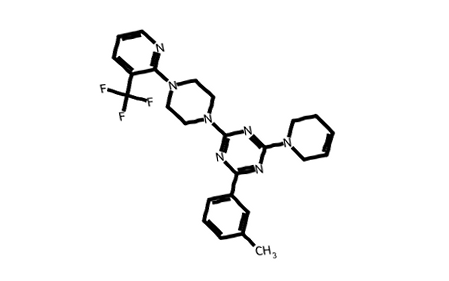 Cc1cccc(-c2nc(N3CC=CCC3)nc(N3CCN(c4ncccc4C(F)(F)F)CC3)n2)c1